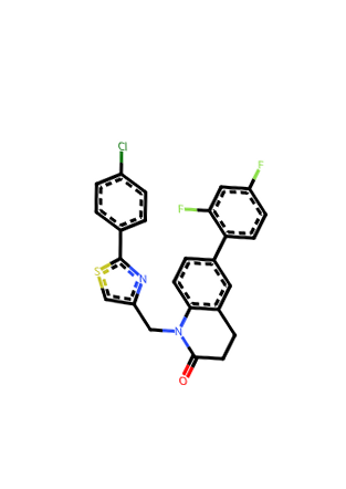 O=C1CCc2cc(-c3ccc(F)cc3F)ccc2N1Cc1csc(-c2ccc(Cl)cc2)n1